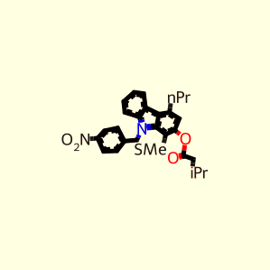 CCCc1cc(OC(=O)CC(C)C)c(SC)c2c1c1ccccc1n2Cc1ccc([N+](=O)[O-])cc1